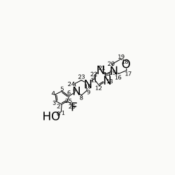 OCc1cccc(N2CCN(c3cnc(N4CCOCC4)nc3)CC2)c1F